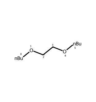 CCCCO[CH]COCCCC